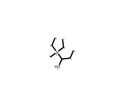 CCC(O)[Si](C)(CC)CC